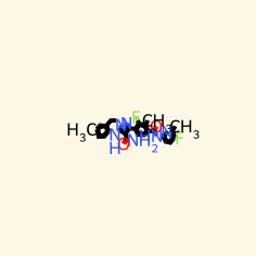 Cc1ccc2c(c1)CCn1nc(-c3ccc(C(=O)Nc4ccc(F)c(C)n4)c(C)c3F)c(C(N)=O)c1N2